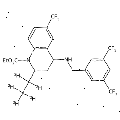 [2H]C([2H])([2H])C([2H])([2H])C1CC(NCc2cc(C(F)(F)F)cc(C(F)(F)F)c2)c2cc(C(F)(F)F)ccc2N1C(=O)OCC